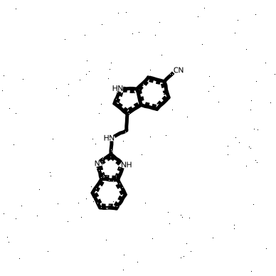 N#Cc1ccc2c(CNc3nc4ccccc4[nH]3)c[nH]c2c1